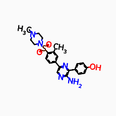 Cc1cc(-c2cnc(N)c(-c3ccc(O)cc3)n2)ccc1S(=O)(=O)N1CCN(C)CC1